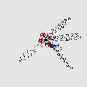 CCCCCCCCCCCCCC(=O)C(CCCN)[C@](C(=O)O)(C(=O)CCCCCCCCCCCCC)N(C(=O)CCCCCCCCCCCCC)C(=O)CCCCCCCCCCCCC